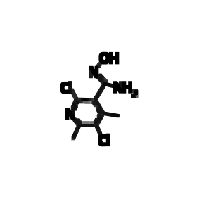 Cc1nc(Cl)c(/C(N)=N/O)c(C)c1Cl